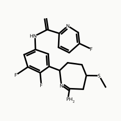 C=C(Nc1cc(F)c(F)c(C2CCC(SC)CC(P)=N2)c1)c1ccc(F)cn1